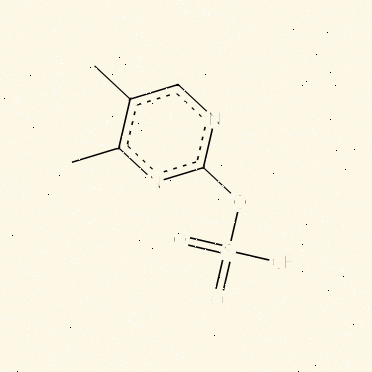 Cc1cnc(OS(=O)(=O)C(F)(F)F)nc1C